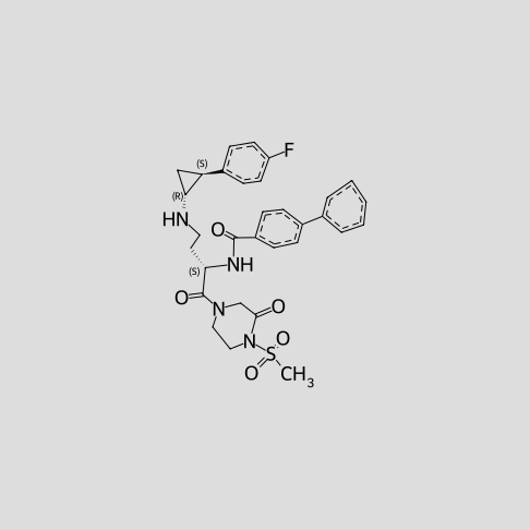 CS(=O)(=O)N1CCN(C(=O)[C@H](CCN[C@@H]2C[C@H]2c2ccc(F)cc2)NC(=O)c2ccc(-c3ccccc3)cc2)CC1=O